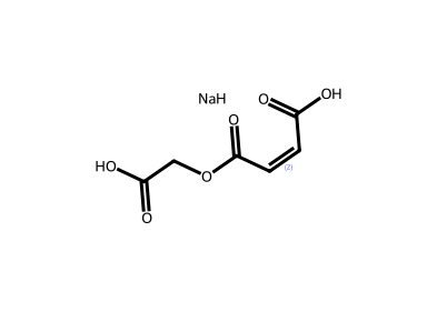 O=C(O)/C=C\C(=O)OCC(=O)O.[NaH]